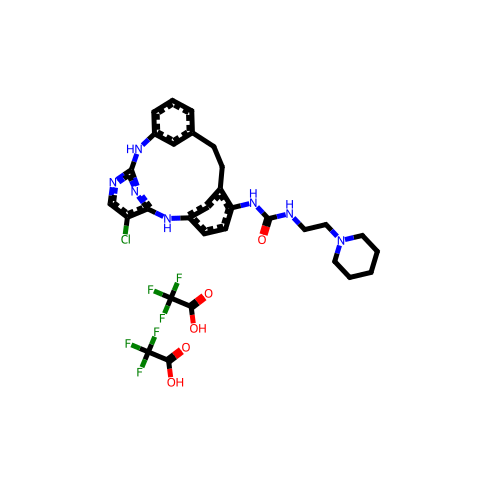 O=C(NCCN1CCCCC1)Nc1ccc2cc1CCc1cccc(c1)Nc1ncc(Cl)c(n1)N2.O=C(O)C(F)(F)F.O=C(O)C(F)(F)F